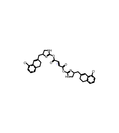 O=C(/C=C/C(=O)OC1=NC(CC2=Cc3c(Cl)cccc3CC2)CN1)OC1=NC(CC2=Cc3c(Cl)cccc3CC2)CN1